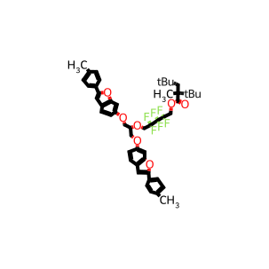 Cc1ccc(-c2cc3ccc(OCC(COc4ccc5cc(-c6ccc(C)cc6)oc5c4)OCC(F)(F)C(F)(F)C(F)(F)COC(=O)C(C)(CC(C)(C)C)C(C)(C)C)cc3o2)cc1